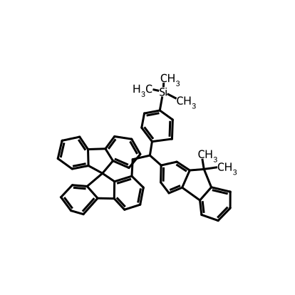 CC1(C)c2ccccc2-c2ccc(C(Cc3cccc4c3C3(c5ccccc5-c5ccccc53)c3ccccc3-4)c3ccc([Si](C)(C)C)cc3)cc21